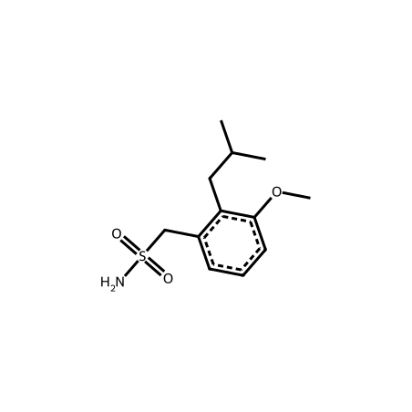 COc1cccc(CS(N)(=O)=O)c1CC(C)C